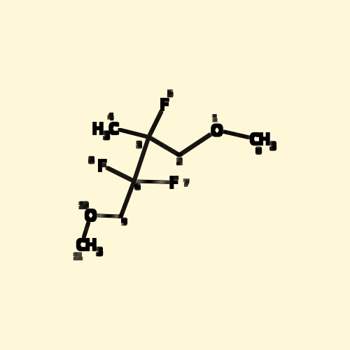 COCC(C)(F)C(F)(F)COC